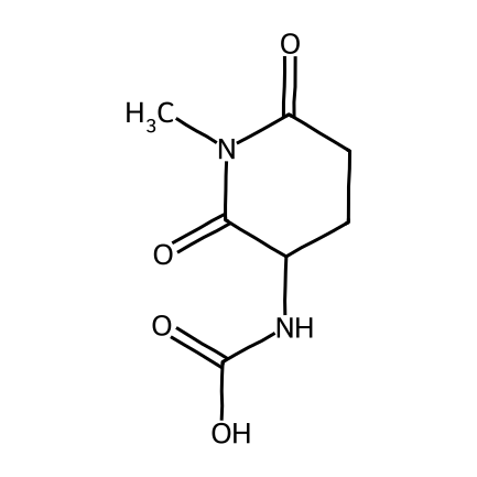 CN1C(=O)CCC(NC(=O)O)C1=O